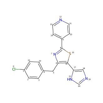 Clc1ccc(Cc2nc(-c3ccncc3)sc2-c2cnc[nH]2)cc1